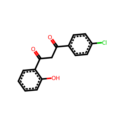 O=C(CC(=O)c1ccccc1O)c1ccc(Cl)cc1